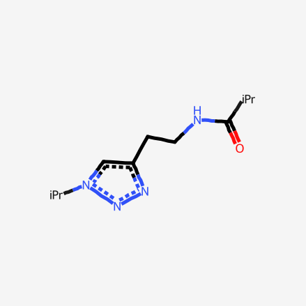 CC(C)C(=O)NCCc1cn(C(C)C)nn1